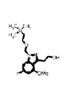 COc1cc(F)cc2c1c(CCO)nn2COCC[Si](C)(C)C